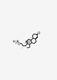 C[C@H](COP)[C@H]1CCC2C3CCC4=CC(=O)CC[C@]4(C)[C@@]3(O)CC[C@@]21C